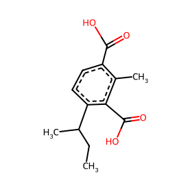 CCC(C)c1ccc(C(=O)O)c(C)c1C(=O)O